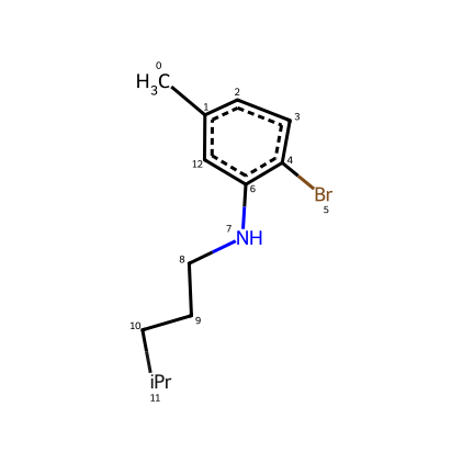 Cc1ccc(Br)c(NCCCC(C)C)c1